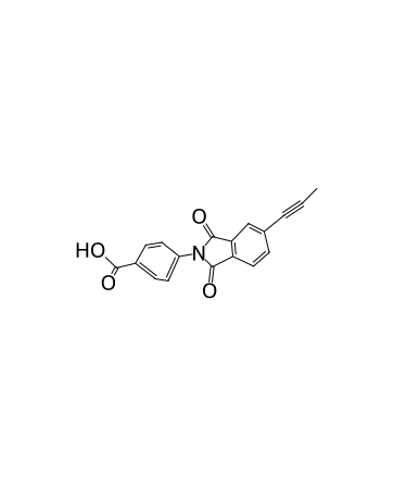 CC#Cc1ccc2c(c1)C(=O)N(c1ccc(C(=O)O)cc1)C2=O